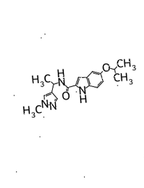 CC(C)Oc1ccc2[nH]c(C(=O)NC(C)c3cnn(C)c3)cc2c1